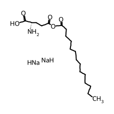 CCCCCCCCCCCCCC(=O)OC(=O)CC[C@H](N)C(=O)O.[NaH].[NaH]